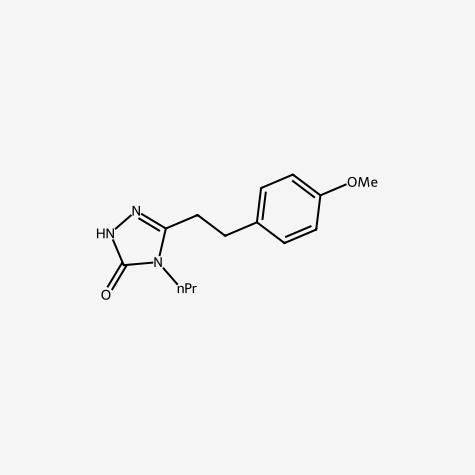 CCCn1c(CCc2ccc(OC)cc2)n[nH]c1=O